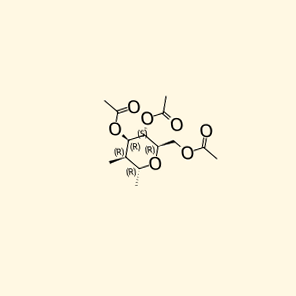 CC(=O)OC[C@H]1O[C@H](C)[C@@H](C)[C@@H](OC(C)=O)[C@@H]1OC(C)=O